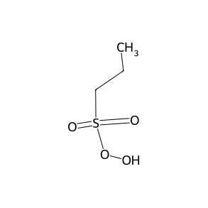 CCCS(=O)(=O)OO